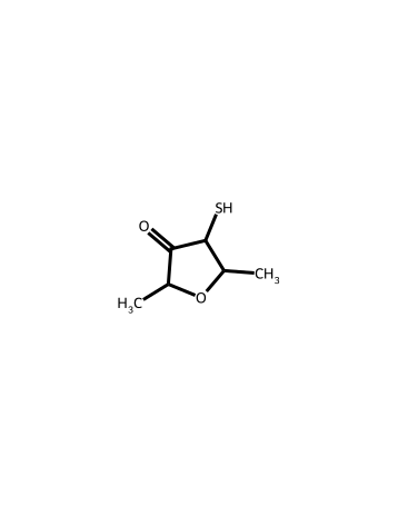 CC1OC(C)C(S)C1=O